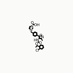 Cc1noc(-c2ccc(CN3C=CN(C(=O)O)C3)cc2)c1NC(=O)OC(C)c1ccccc1Cl